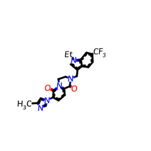 CCn1cc(CN2CCn3c(ccc(-n4cnc(C)c4)c3=O)C2=O)c2ccc(C(F)(F)F)cc21